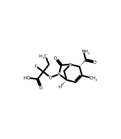 CCC(F)(ON1C(=O)N2C[C@H]1C=C(C)[C@H]2C(N)=O)C(=O)O